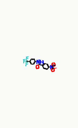 O=C(Nc1ccc(C(F)(F)F)cc1)c1ccc([N+](=O)[O-])cc1